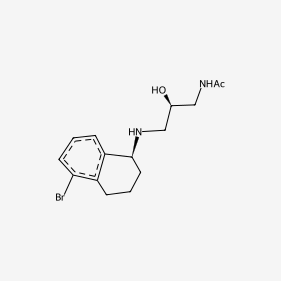 CC(=O)NC[C@H](O)CN[C@H]1CCCc2c(Br)cccc21